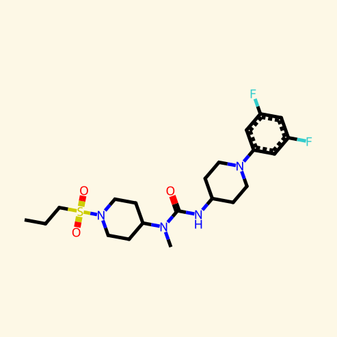 CCCS(=O)(=O)N1CCC(N(C)C(=O)NC2CCN(c3cc(F)cc(F)c3)CC2)CC1